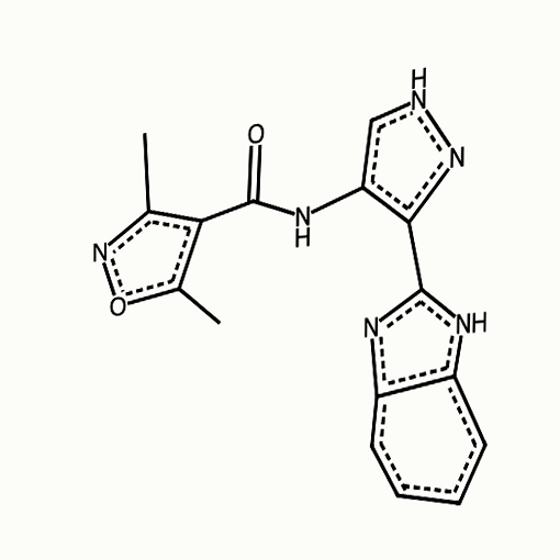 Cc1noc(C)c1C(=O)Nc1c[nH]nc1-c1nc2ccccc2[nH]1